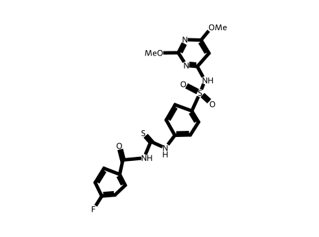 COc1cc(NS(=O)(=O)c2ccc(NC(=S)NC(=O)c3ccc(F)cc3)cc2)nc(OC)n1